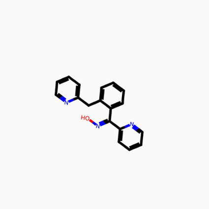 ON=C(c1ccccn1)c1ccccc1Cc1ccccn1